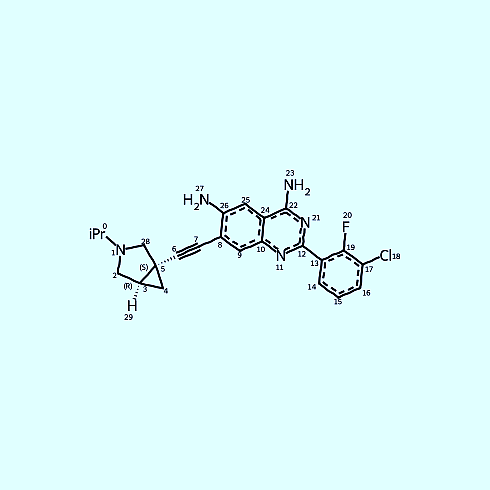 CC(C)N1C[C@@H]2C[C@]2(C#Cc2cc3nc(-c4cccc(Cl)c4F)nc(N)c3cc2N)C1